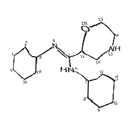 C1CCC(N=C(NC2CCCCC2)C2CNCCO2)CC1